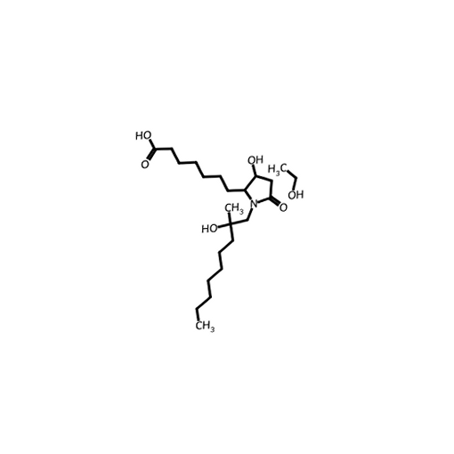 CCCCCCCC(C)(O)CN1C(=O)CC(O)C1CCCCCCC(=O)O.CCO